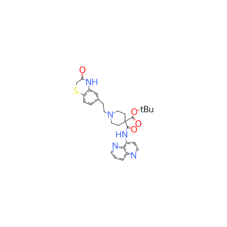 CC(C)(C)OC(=O)C1(C(=O)Nc2ccnc3cccnc23)CCN(CCc2ccc3c(c2)NC(=O)CS3)CC1